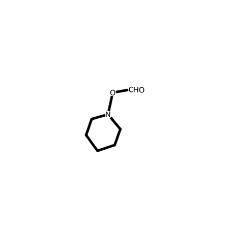 O=CON1CCCCC1